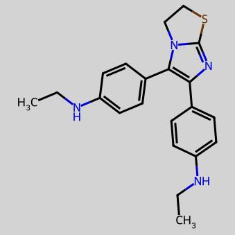 CCNc1ccc(-c2nc3n(c2-c2ccc(NCC)cc2)CCS3)cc1